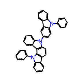 c1ccc(-n2c3ccccc3c3cc(-n4c5ccccc5c5c4ccc4c6ccccc6n(-c6ccccc6)c45)ccc32)cc1